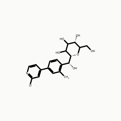 Cc1cc(-c2ccnc(Cl)c2)ccc1[C@@H](O)[C@H]1OC(CO)[C@@H](O)C(O)C1O